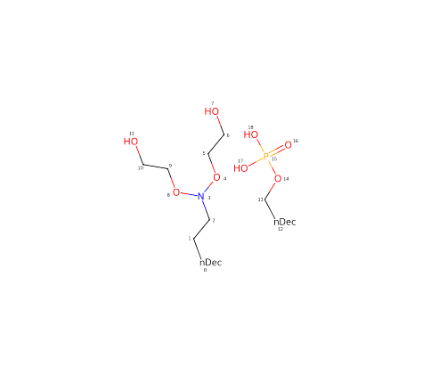 CCCCCCCCCCCCN(OCCO)OCCO.CCCCCCCCCCCOP(=O)(O)O